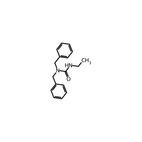 CCNC(=O)N(Cc1ccccc1)Cc1ccccc1